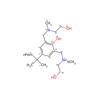 CCCCCC(C)(C)c1cc(CN(C)CCO)c(O)c(CN(C)CCO)c1